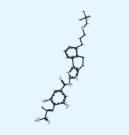 CC(=Cc1c(Cl)cc(C(=O)Nc2nc3c(s2)CCc2c(CCCOCC(C)(C)C)cccc2-3)cc1Cl)C(=O)O